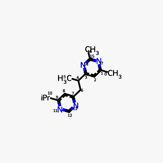 Cc1cc(C(C)Cc2cc(C(C)C)ncn2)nc(C)n1